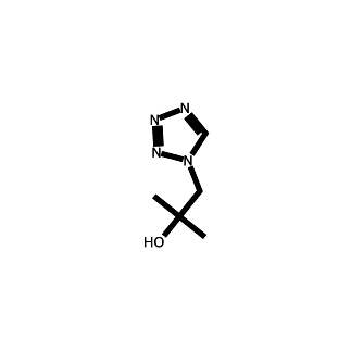 CC(C)(O)Cn1cnnn1